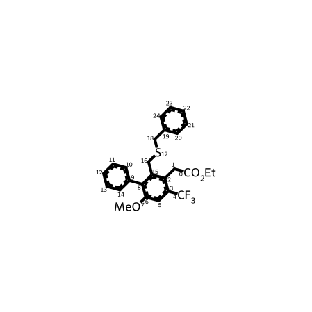 CCOC(=O)Cc1c(C(F)(F)F)cc(OC)c(-c2ccccc2)c1CSCc1ccccc1